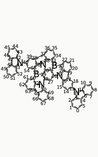 c1ccc2c(c1)c1ccccc1n2-c1ccc2c(c1)c1cccc3c1n2-c1cc2c4c5c1B3c1cccc3c6cc(-n7c8ccccc8c8ccccc87)cc(c6n-5c13)B4c1cccc3c4ccccc4n-2c13